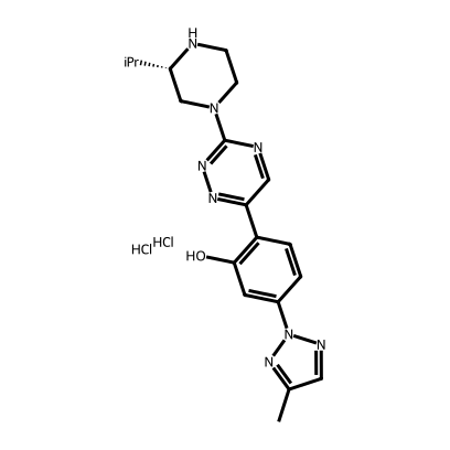 Cc1cnn(-c2ccc(-c3cnc(N4CCN[C@@H](C(C)C)C4)nn3)c(O)c2)n1.Cl.Cl